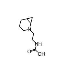 O=C(O)NCCN1CCCC2CC21